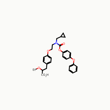 CCOC(Cc1ccc(OCCN(CC2CC2)C(=O)Oc2ccc(Oc3ccccc3)cc2)cc1)C(=O)O